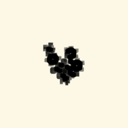 O=C1C[N+](Cc2ccnc3cccc(Cc4ccccn4)c23)(OC(=O)C(F)(F)F)C(=O)N1c1ccc(SC(F)(F)F)cc1